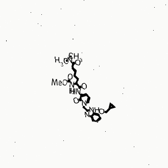 COC(=O)NC(CC/C=C/C(=O)N(C)C)C(=O)Nc1cccn(Cc2nc3cccc(OCC4CC4)c3[nH]2)c1=O